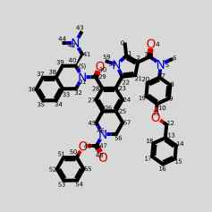 Cc1c(C(=O)N(C)c2ccc(OCc3ccccc3)cc2)cc(-c2cc3c(cc2C(=O)N2Cc4ccccc4C[C@H]2CN(C)C)CN(C(=O)Oc2ccccc2)CC3)n1C